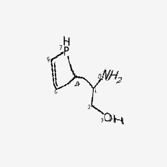 NC(CO)C1C=CP1